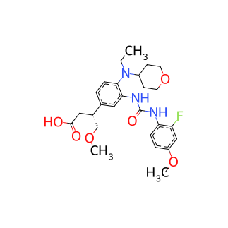 CCN(c1ccc([C@H](COC)CC(=O)O)cc1NC(=O)Nc1ccc(OC)cc1F)C1CCOCC1